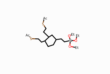 CCO[Si](CCC1CCC(CCSC(C)=O)C(CCSC(C)=O)C1)(OCC)OCC